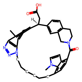 Cc1c2ccc3c1nnn3CCCCCCc1ccc(c3ccn(C)c13)C(=O)N1CCc3ccc(cc3C1)[C@@H]2CC(=O)O